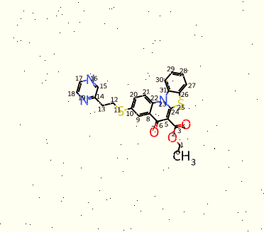 CCOC(=O)c1c(=O)c2cc(SCCc3cnccn3)ccc2n2c1sc1ccccc12